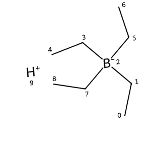 CC[B-](CC)(CC)CC.[H+]